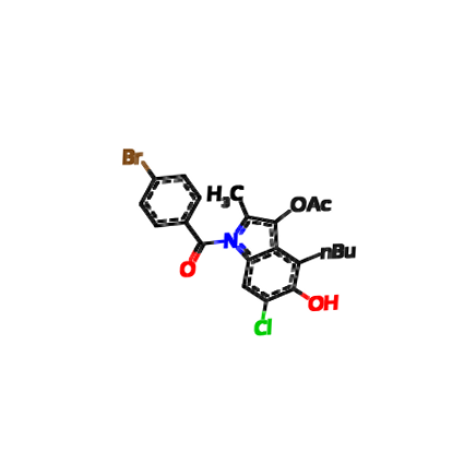 CCCCc1c(O)c(Cl)cc2c1c(OC(C)=O)c(C)n2C(=O)c1ccc(Br)cc1